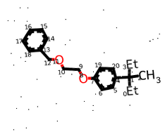 CCC(C)(CC)c1ccc(OCCOCc2ccccc2)cc1